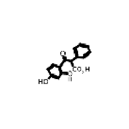 O=C(O)C(C(=O)c1ccc(O)cc1O)c1ccccc1